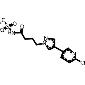 CS(=O)(=O)NC(=O)CCCn1cc(-c2ccc(C(F)(F)F)nc2)cn1